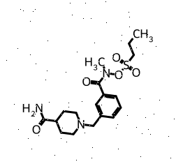 CCCS(=O)(=O)ON(C)C(=O)c1cccc(CN2CCC(C(N)=O)CC2)c1